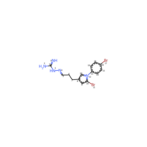 N=C(N)NN=CCCc1cc(Br)n(-c2ccc(Br)cc2)c1